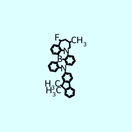 CC1CC(F)c2cccc3c2N(C1)c1cccc2c1B3c1ccccc1N2c1ccc2c(c1)C(C)(C)c1ccccc1-2